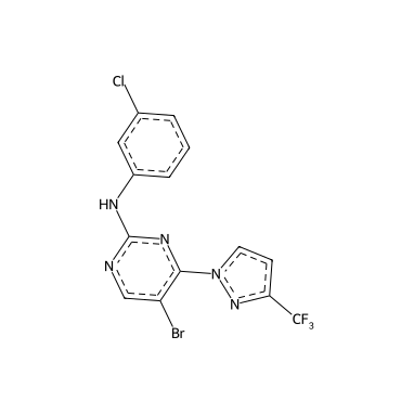 FC(F)(F)c1ccn(-c2nc(Nc3cccc(Cl)c3)ncc2Br)n1